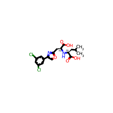 CC(C)C[C@H](N[C@@H](Cc1nc(-c2cc(Cl)cc(Cl)c2)co1)C(=O)O)C(=O)O